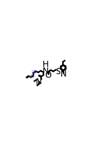 C=C/C=C\C=C/CCC(CC(=C)CN(CC)CC)NC(=O)CCCSc1cc(CC)ccc1N=C